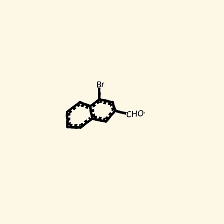 O=[C]c1cc(Br)c2ccccc2c1